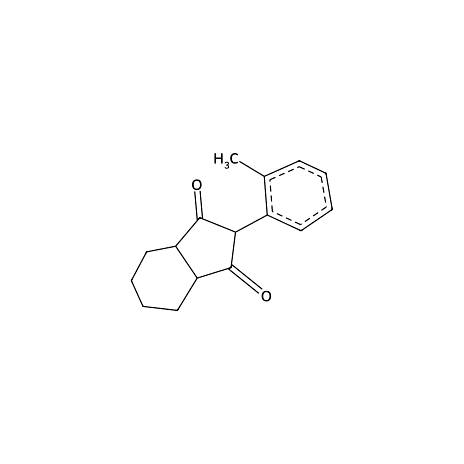 Cc1ccccc1C1C(=O)C2CCCCC2C1=O